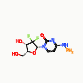 O=c1nc(NP)ccn1[C@@H]1O[C@H](CO)[C@H](O)C1(F)F